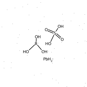 O=S(=O)(O)O.OB(O)O.[PbH2]